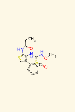 CCC(=O)Nc1scc(-c2ccccc2)c1NC(NOC)=S=C=O